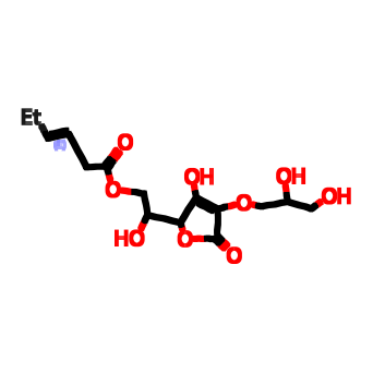 CC/C=C/CC(=O)OCC(O)C1OC(=O)C(OCC(O)CO)=C1O